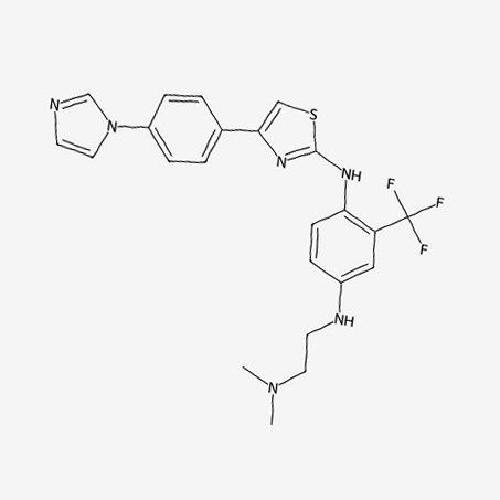 CN(C)CCNc1ccc(Nc2nc(-c3ccc(-n4ccnc4)cc3)cs2)c(C(F)(F)F)c1